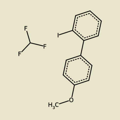 COc1ccc(-c2ccccc2I)cc1.FC(F)F